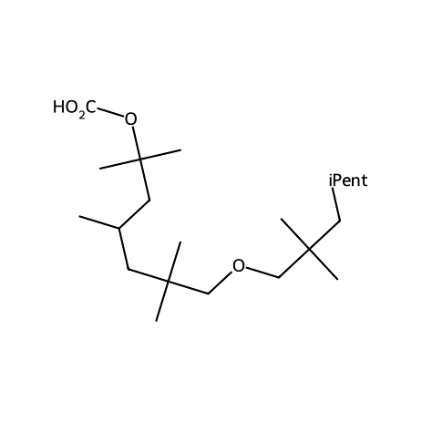 CCCC(C)CC(C)(C)COCC(C)(C)CC(C)CC(C)(C)OC(=O)O